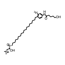 [2H]c1cc(NC(=O)CCCCO)ccc1CCCCCCCCCCCCCCCCCC[P+]([O-])=C(O)C[N+](C)(C)C